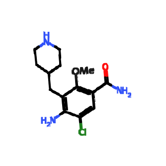 COc1c(C(N)=O)cc(Cl)c(N)c1CC1CCNCC1